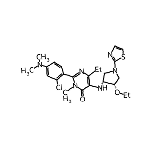 CCO[C@H]1CN(c2nccs2)C[C@H]1Nc1c(CC)nc(-c2ccc(N(C)C)cc2Cl)n(C)c1=O